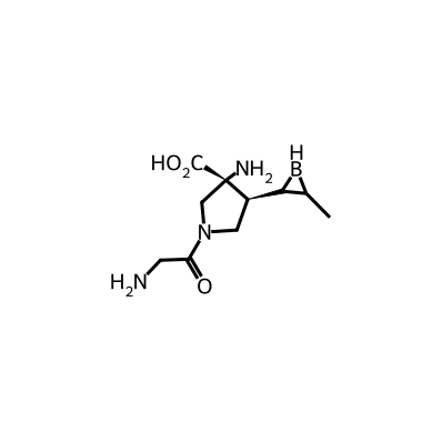 CC1BC1[C@H]1CN(C(=O)CN)C[C@@]1(N)C(=O)O